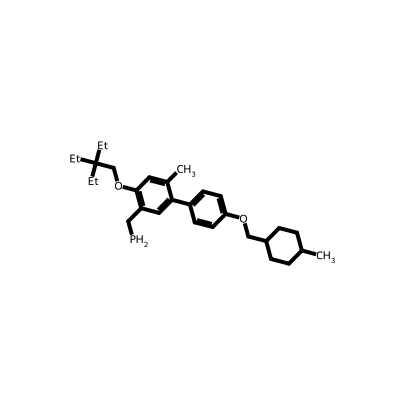 CCC(CC)(CC)COc1cc(C)c(-c2ccc(OCC3CCC(C)CC3)cc2)cc1CP